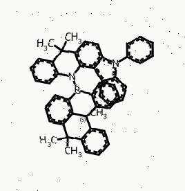 CC1(C)c2ccccc2[C@]2(C)c3ccccc3B(N3c4ccccc4C(C)(C)c4ccc5c(c43)c3ccccc3n5-c3ccccc3)c3cccc1c32